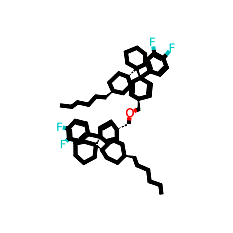 CCCCCC[C@H]1CC[C@H](C2([C@]3(c4ccc(F)c(F)c4)C=C[C@H](COC[C@H]4C=C[C@@](c5ccc(F)c(F)c5)(C5([C@H]6CC[C@H](CCCCCC)CC6)CCCCC5)C=C4)C=C3)CCCCC2)CC1